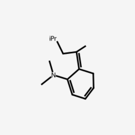 CC(CC(C)C)=C1CC=CC=C1N(C)C